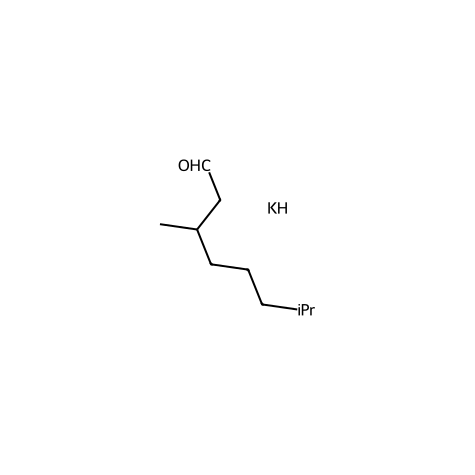 CC(C)CCCC(C)CC=O.[KH]